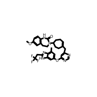 COc1ccc2c(c1)CCN(C1CCC=C(Cc3cc(Oc4cc(C)c5nc(CC(F)(F)F)[nH]c5c4)ncn3)CC1)C(=O)N2